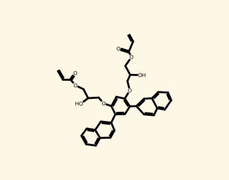 C=CC(=O)OCC(O)COc1cc(OCC(O)COC(=O)C=C)c(-c2ccc3ccccc3c2)cc1-c1ccc2ccccc2c1